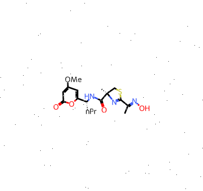 CCC[C@@H](NC(=O)[C@@]1(C)CSC(/C(C)=N/O)=N1)c1cc(OC)cc(=O)o1